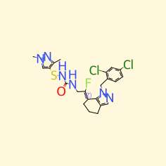 Cc1nn(C)cc1SNC(=O)NC/C(F)=C1\CCCc2cnn(Cc3ccc(Cl)cc3Cl)c21